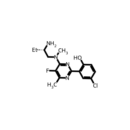 CC[C@H](N)CN(C)c1nc(-c2cc(Cl)ccc2O)nc(C)c1F